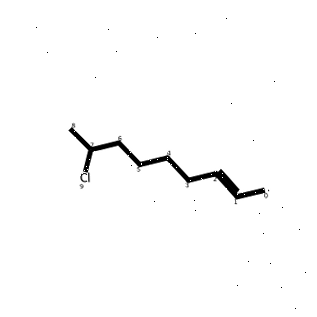 [CH2]/C=C/CCCCC(C)Cl